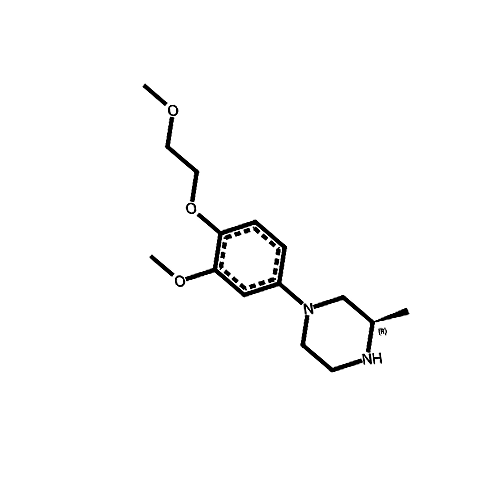 COCCOc1ccc(N2CCN[C@H](C)C2)cc1OC